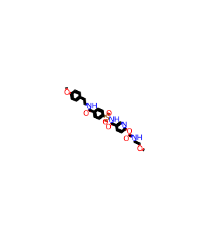 COCCNC(=O)Oc1ccc(C(=O)NS(=O)(=O)c2ccc(C(=O)NCCc3ccc(OC)cc3)cc2)cn1